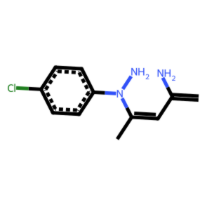 C=C(N)/C=C(/C)N(N)c1ccc(Cl)cc1